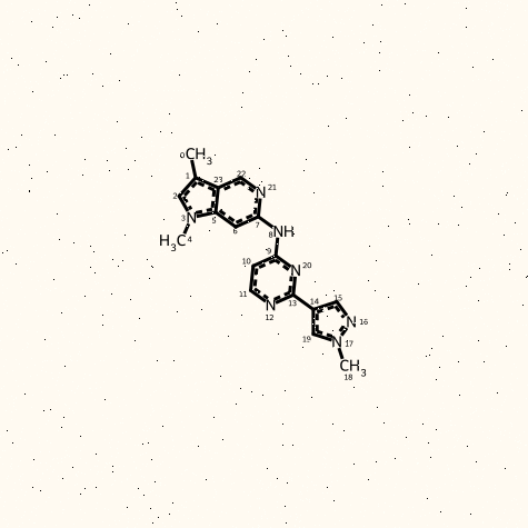 Cc1cn(C)c2cc(Nc3ccnc(-c4cnn(C)c4)n3)ncc12